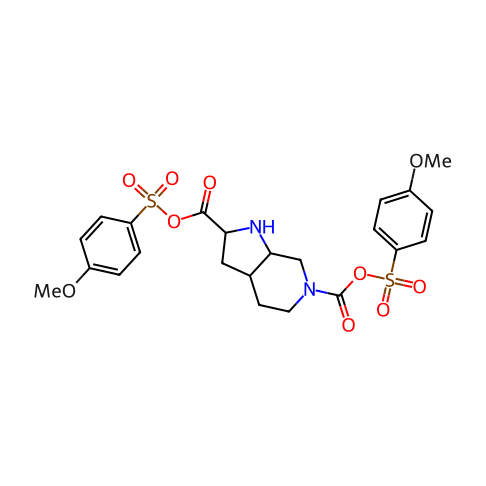 COc1ccc(S(=O)(=O)OC(=O)C2CC3CCN(C(=O)OS(=O)(=O)c4ccc(OC)cc4)CC3N2)cc1